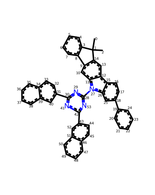 CC1(C)c2ccccc2-c2cc3c(cc21)c1ccc(-c2ccccc2)cc1n3-c1nc(-c2ccc3ccccc3c2)nc(-c2ccc3ccccc3c2)n1